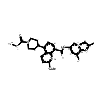 COc1ccc2c(C3CCN(C(=O)OC(C)(C)C)CC3)ccc(C(=O)Nc3cc(F)c4nc(C)cn4c3)c2n1